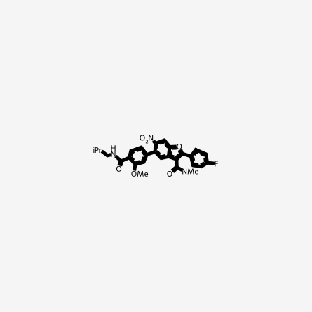 CNC(=O)c1c(-c2ccc(F)cc2)oc2cc([N+](=O)[O-])c(-c3ccc(C(=O)NCC(C)C)c(OC)c3)cc12